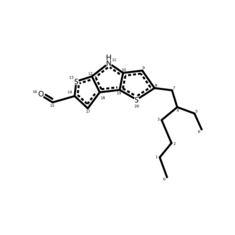 CCCCC(CC)Cc1cc2[nH]c3sc(C=O)cc3c2s1